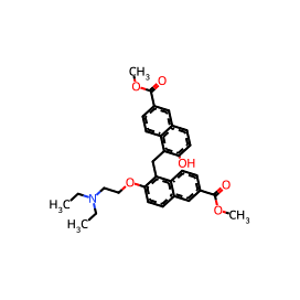 CCN(CC)CCOc1ccc2cc(C(=O)OC)ccc2c1Cc1c(O)ccc2cc(C(=O)OC)ccc12